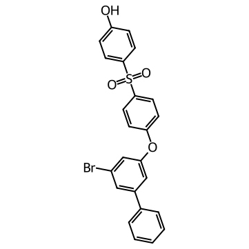 O=S(=O)(c1ccc(O)cc1)c1ccc(Oc2cc(Br)cc(-c3ccccc3)c2)cc1